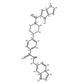 Cn1c(C(=O)N2CCC(c3ccc(C(=O)NCc4ccn5ccnc5c4)cc3)CC2)cc2occc21